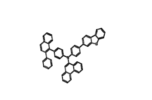 c1ccc(-c2ccc3ccccc3c2-c2ccc(N(c3ccc(-c4ccc5c(c4)oc4ccccc45)cc3)c3cc4ccccc4c4ccccc34)cc2)cc1